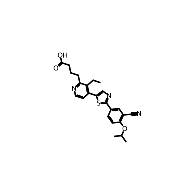 CCc1c(-c2cnc(-c3ccc(OC(C)C)c(C#N)c3)s2)ccnc1CCCC(=O)O